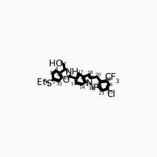 CCSc1ccc(C(CO)NC(=O)c2ccc3c(c2)cc(Cc2ccc(Cl)cc2C(F)(F)F)n3C(C)C)cc1